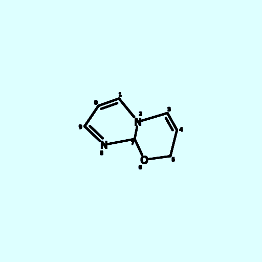 C1=CN2C=CCOC2N=C1